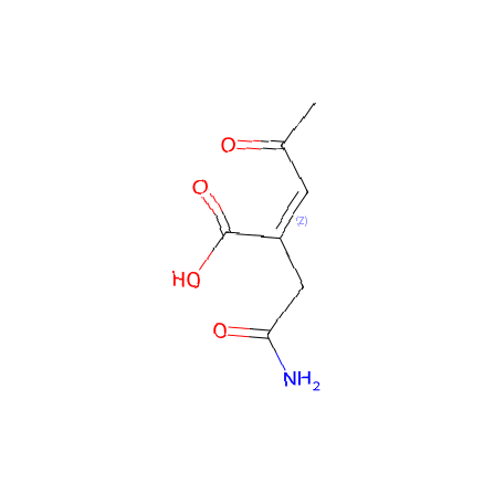 CC(=O)/C=C(/CC(N)=O)C(=O)O